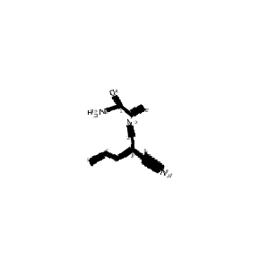 C=CC(N)=O.C=CC=C(C#N)C#N